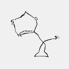 FC1(C2=NSCO2)CC1